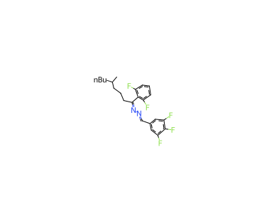 CCCCC(C)CCCC(=NN=Cc1cc(F)c(F)c(F)c1)c1c(F)cccc1F